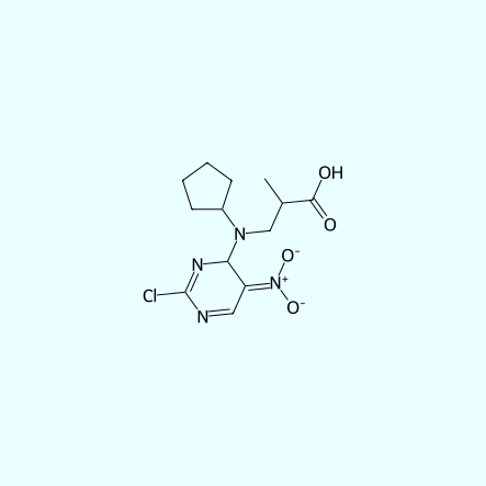 CC(CN(C1CCCC1)C1N=C(Cl)N=CC1=[N+]([O-])[O-])C(=O)O